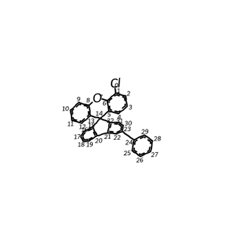 Clc1cccc2c1Oc1ccccc1C21c2ccccc2-c2cc(-c3ccccc3)ccc21